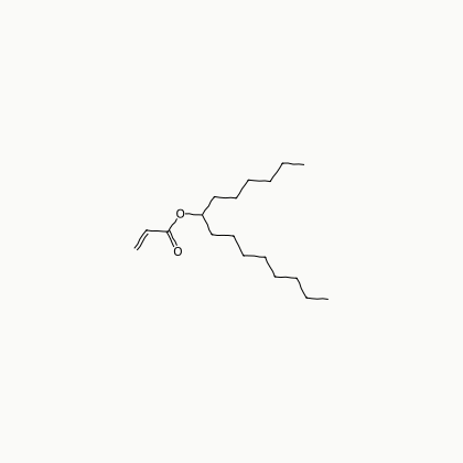 C=CC(=O)OC(CCCCCC)CCCCCCCC